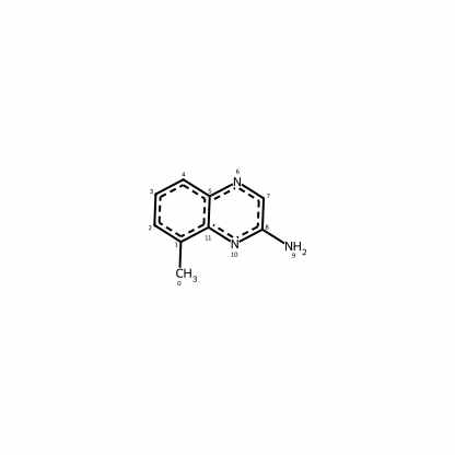 Cc1cccc2ncc(N)nc12